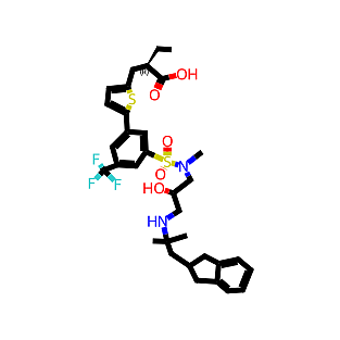 CC[C@H](Cc1ccc(-c2cc(C(F)(F)F)cc(S(=O)(=O)N(C)CC(O)CNC(C)(C)CC3Cc4ccccc4C3)c2)s1)C(=O)O